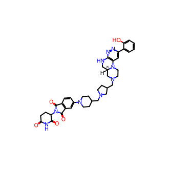 O=C1CCC(N2C(=O)c3ccc(N4CCC(CN5CCC(CN6CCN7c8cc(-c9ccccc9O)nnc8NC[C@H]7C6)C5)CC4)cc3C2=O)C(=O)N1